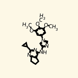 COc1cc(-n2cnc(Nc3nc(C4CC4)nc4c3CCC4)c2)cc(OC)c1OC